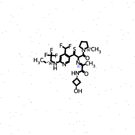 CC[C@@H](Nc1cc(C(F)F)c(C(=S)C(/N=C(\C)C(=O)N[C@H]2C[C@H](O)C2)C(=O)N2CCC[C@@H]2C)cn1)C(F)(F)F